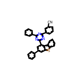 N#Cc1cccc(-c2nc(-c3ccccc3)nc(-c3cc(-c4ccccc4)cc4sc5ccccc5c34)n2)c1